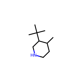 CC1CCNCC1C(C)(C)C